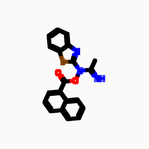 CC(=N)N(OC(=O)c1cccc2ccccc12)c1nc2ccccc2s1